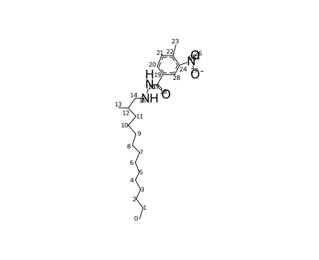 CCCCCCCCCCCCC(C)CNNC(=O)c1ccc(C)c([N+](=O)[O-])c1